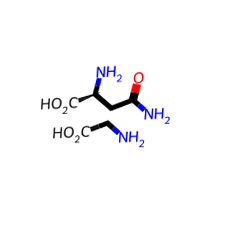 NC(=O)C[C@H](N)C(=O)O.NCC(=O)O